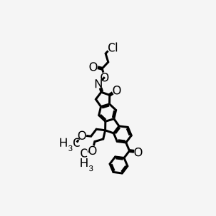 COCCC1(CCOC)c2cc(C(=O)c3ccccc3)ccc2-c2cc3c(cc21)C/C(=N/OC(=O)CCCl)C3=O